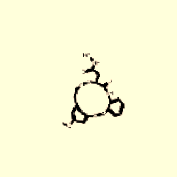 COc1cc2cc(c1)COc1ccccc1NC(=O)C(CC(=O)NO)OCCC2